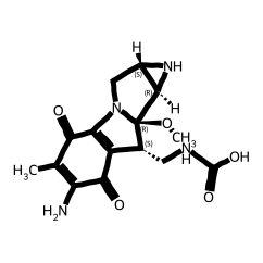 CO[C@@]12[C@H](CNC(=O)O)C3=C(C(=O)C(C)=C(N)C3=O)N1C[C@@H]1N[C@H]12